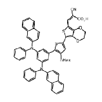 CCCCCCc1cc(-c2sc(/C=C(/C#N)C(=O)O)c3c2OCCO3)sc1-c1cc(N(c2ccccc2)c2ccc3ccccc3c2)cc(N(c2ccccc2)c2ccc3ccccc3c2)c1